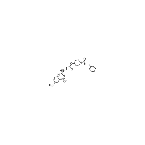 Cc1ccc2nc(NCCC(=O)OC3CCN(C(=O)OCc4ccccc4)CC3)n[n+]([O-])c2c1